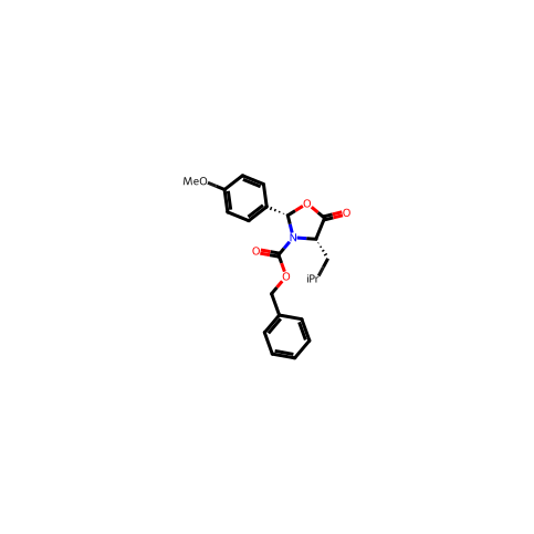 COc1ccc([C@@H]2OC(=O)[C@H](CC(C)C)N2C(=O)OCc2ccccc2)cc1